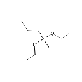 CCCCC(C)(OCC)OCC